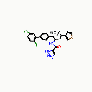 CCOC(=O)C(C[C@@H](Cc1ccc(-c2cc(Cl)ccc2F)cc1)NC(=O)c1cnn[nH]1)c1ccsc1